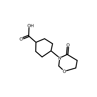 O=C(O)C1CCC(N2COCCC2=O)CC1